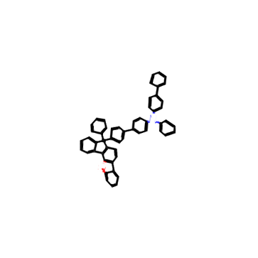 c1ccc(-c2ccc(N(c3ccccc3)c3ccc(-c4ccc(C5(c6ccccc6)c6ccccc6-c6c5ccc5c6oc6ccccc65)cc4)cc3)cc2)cc1